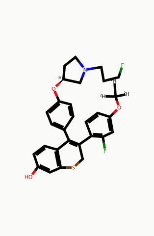 [2H]C([2H])([2H])Oc1ccc(C2=C(c3ccc(O[C@H]4CCN(CCCF)C4)cc3)c3ccc(O)cc3SC2)c(F)c1